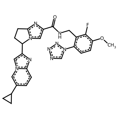 COc1ccc(-n2cnnn2)c(CNC(=O)c2cn3c(n2)CCC3c2cn3cc(C4CC4)ccc3n2)c1F